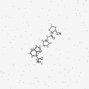 N#C[C@@H]1CCCN1C(=O)CN1CC[C@H](c2cc3cccc(C(N)=O)c3o2)C1